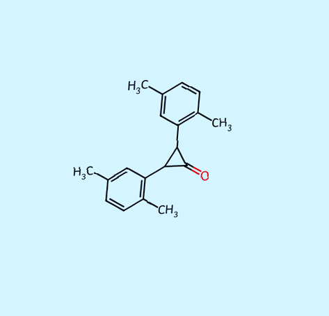 Cc1ccc(C)c(C2C(=O)C2c2cc(C)ccc2C)c1